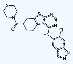 O=C([C@H]1CCc2c(sc3ncnc(Nc4cc5snnc5cc4Cl)c23)C1)N1CCSCC1